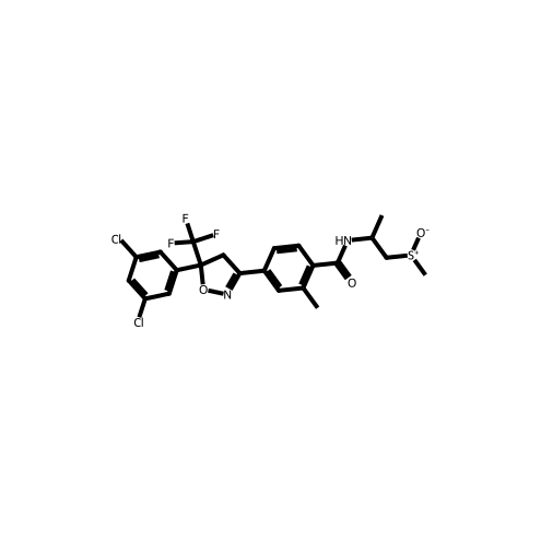 Cc1cc(C2=NOC(c3cc(Cl)cc(Cl)c3)(C(F)(F)F)C2)ccc1C(=O)NC(C)C[S+](C)[O-]